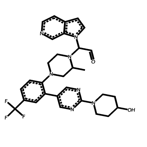 CC1CN(c2ccc(C(F)(F)F)cc2-c2cnc(N3CCC(O)CC3)nc2)CCN1C(C=O)n1ccc2ccncc21